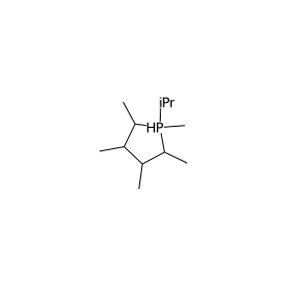 CC1C(C)C(C)[PH](C)(C(C)C)C1C